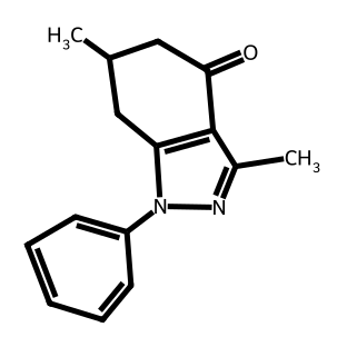 Cc1nn(-c2ccccc2)c2c1C(=O)CC(C)C2